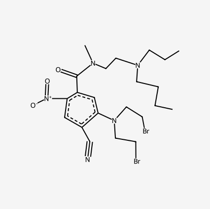 CCCCN(CCC)CCN(C)C(=O)c1cc(N(CCBr)CCBr)c(C#N)cc1[N+](=O)[O-]